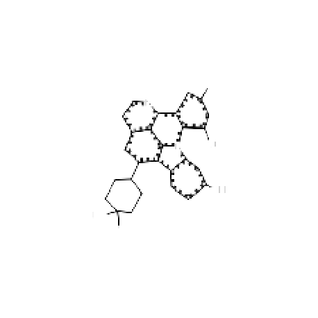 Cc1cc(C)c2c(c1)c1nccc3cc(C4CCC(C)(C)CC4)c4c5ccc(C)cc5n2c4c31